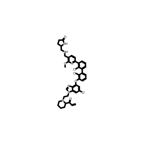 C=CC(=O)C1CCCCN1CCn1cnc2c(Oc3cccc(-c4cccc(-c5ccc(CNCC6CCC(=O)N6)c(OC)n5)c4Cl)c3Cl)cc(Cl)cc21